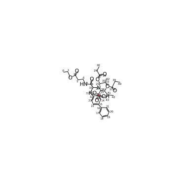 CCOC(=O)CCNC(=O)C(Cc1ccc(-c2ccccc2)cc1)N(C(OC(=O)CC)C(C)C)C(C(OC(=O)CC)C(C)C)P(=O)(O)O